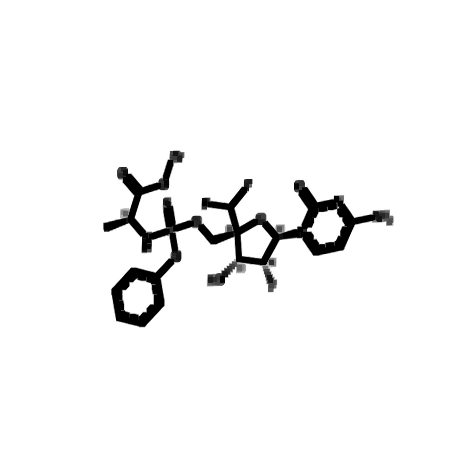 CC(C)OC(=O)[C@H](C)NP(=S)(OC[C@@]1(C(F)F)O[C@@H](n2ccc(N)nc2=O)[C@H](F)[C@@H]1O)Oc1ccccc1